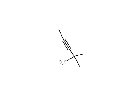 CC#CC(C)(C)C(=O)O